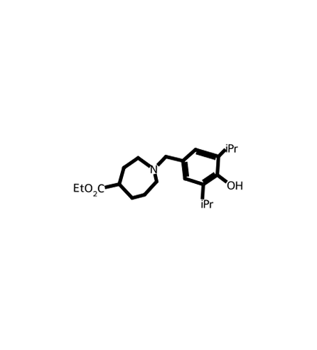 CCOC(=O)C1CCCN(Cc2cc(C(C)C)c(O)c(C(C)C)c2)CC1